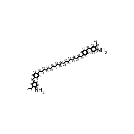 CCc1cc(Cc2ccc(CCCCCCCCCCCCCCCCCCCCc3ccc(Cc4ccc(N)c(CC)c4)cc3)cc2)ccc1N